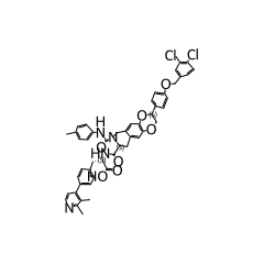 Cc1ccc(NC(=O)N2Cc3cc4c(cc3C[C@H]2C(=O)N[C@@H](Cc2ccc(-c3ccnc(C)c3C)cc2)C(=O)O)OC[C@H](c2ccc(OCc3ccc(Cl)c(Cl)c3)cc2)O4)cc1